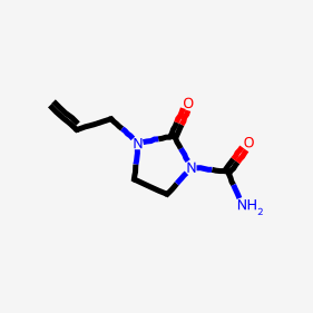 C=CCN1CCN(C(N)=O)C1=O